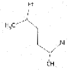 CCC(C)CC[CH](C)[Ni]